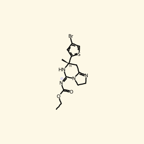 CCOC(=O)/N=C1/N[C@](C)(c2cc(Br)cs2)CC2=NCCN21